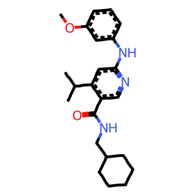 COc1cccc(Nc2cc(C(C)C)c(C(=O)NCC3CCCCC3)cn2)c1